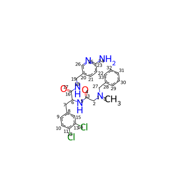 CN(CC(=O)NC(Cc1ccc(Cl)c(Cl)c1)C(=O)NCc1ccc(N)nc1)Cc1ccccc1